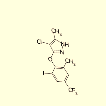 Cc1cc(C(F)(F)F)cc(I)c1Oc1n[nH]c(C)c1Cl